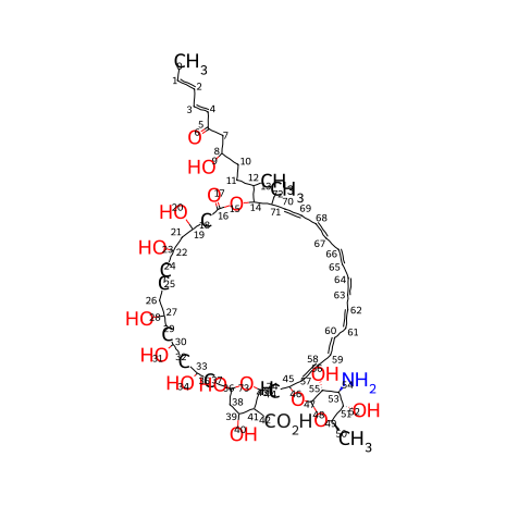 C/C=C/C=C/C(=O)CC(O)CCC(C)C1OC(=O)CC(O)CC(O)CCCC(O)CC(O)CC(O)CC2(O)CC(O)C(C(=O)O)[C@H](CC(OC3O[C@H](C)[C@@H](O)[C@H](N)[C@H]3O)/C=C/C=C/C=C/C=C\C=C/C=C/C=C/C1C)O2